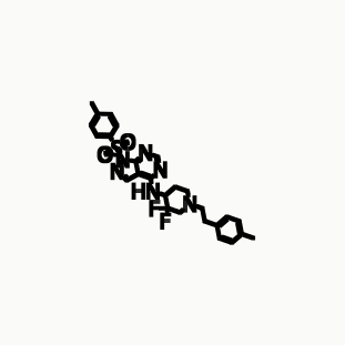 Cc1ccc(CCN2CCC(Nc3ncnc4c3cnn4S(=O)(=O)c3ccc(C)cc3)C(F)(F)C2)cc1